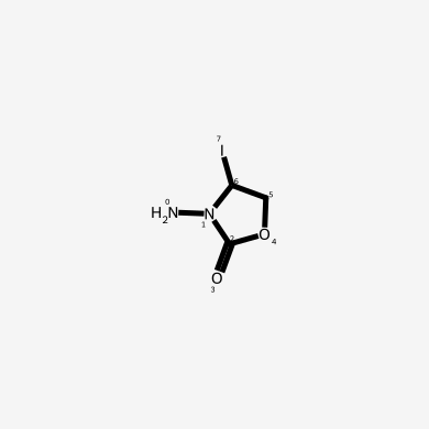 NN1C(=O)OCC1I